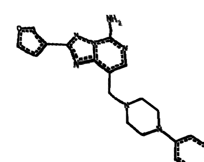 Nc1ncc(CN2CCN(c3ccccc3)CC2)c2nc(-c3ccoc3)nn12